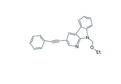 CCOCn1c2ccccc2c2cc(C#Cc3ccccc3)cnc21